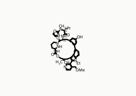 CCn1c(-c2cnccc2COC)c2c3cc(ccc31)-c1cc(O)cc(c1)C[C@H](NC(=O)[C@H](C(C)C)N(C)c1ncco1)C(=O)N1CCC[C@@](O)(N1)C(=O)OCC(C)(C)C2